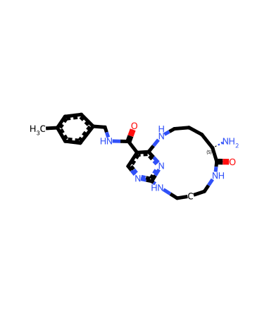 Cc1ccc(CNC(=O)c2cnc3nc2NCCC[C@H](N)C(=O)NCCCN3)cc1